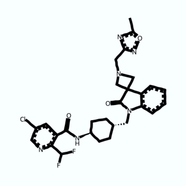 Cc1nc(CN2CC3(C2)C(=O)N(C[C@H]2CC[C@H](NC(=O)c4cc(Cl)cnc4C(F)F)CC2)c2ccccc23)no1